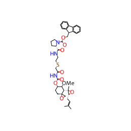 CO[C@H]1[C@H](C2(C)O[C@@H]2CC=C(C)C)[C@]2(CC[C@H]1OC(=O)NC(=O)CSCCNC(=O)[C@@H]1CCCN1C(=O)OCC1c3ccccc3-c3ccccc31)CO2